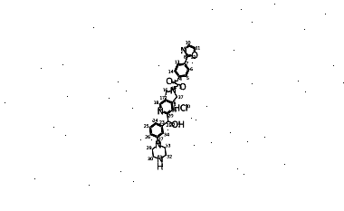 Cl.O=S(=O)(c1ccc(-c2ncco2)cc1)N1Cc2cnc(C(O)c3cccc(N4CCNCC4)c3)cc2C1